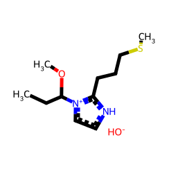 CCC(OC)[n+]1cc[nH]c1CCCSC.[OH-]